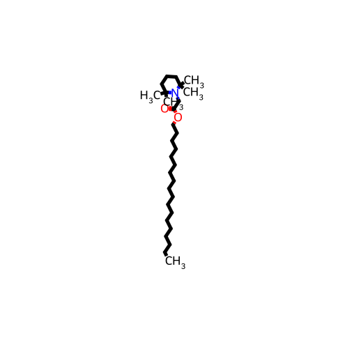 CCCCCCCCCCCCCCCCCCOC(=O)CN1C(C)(C)CCCC1(C)C